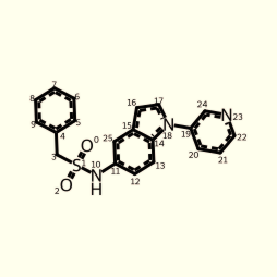 O=S(=O)(Cc1ccccc1)Nc1ccc2c(ccn2-c2cccnc2)c1